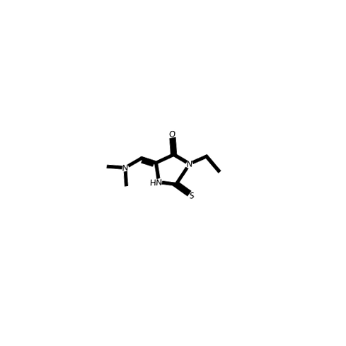 CCN1C(=O)/C(=C/N(C)C)NC1=S